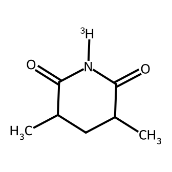 [3H]N1C(=O)C(C)CC(C)C1=O